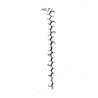 CC(C)=CCC/C(C)=C/C=C/C(C)=C/C=C/C(C)=C/C=C/C=C(C)/C=C/C=C(C)/C=C/C=C(\C)CC/C=C(\C)C(=O)O